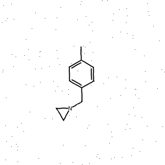 Cc1ccc(CN2CC2)cc1